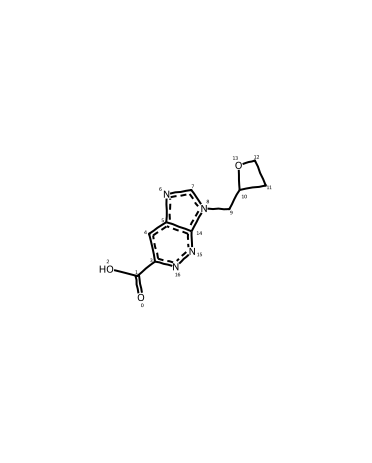 O=C(O)c1cc2ncn(CC3CCO3)c2nn1